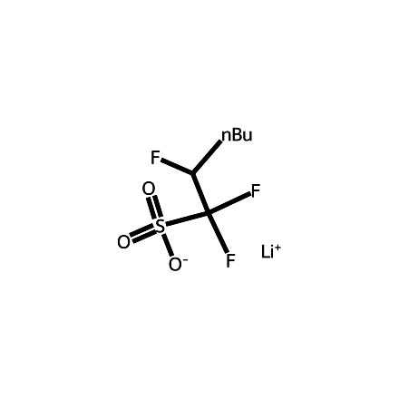 CCCCC(F)C(F)(F)S(=O)(=O)[O-].[Li+]